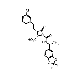 C[C@@H](NC(=O)N1C(=O)[C@H](CCC2C=C(Cl)C=CC2)[C@H]1C(=O)O)c1ccc2c(c1)OC(F)(F)O2